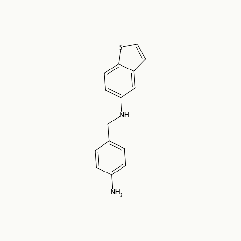 Nc1ccc(CNc2ccc3sccc3c2)cc1